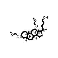 COCO[C@@H]1CC[C@@]2(C)[C@H](CC[C@@H]3[C@@H]2C[C@H](OCOC)[C@]2(C)[C@@H]([C@H](C)CCCO)CC[C@@H]32)C1